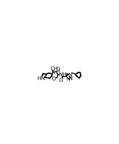 CN1C(=O)C(NC(=O)c2cn(Cc3ccccc3)nn2)COc2cc3[nH]ccc3cc21